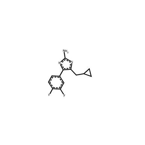 Nc1nc(-c2ccc(F)c(F)c2)c(CC2CC2)s1